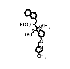 CCOC(=O)C(Cc1ccc2ccccc2c1)c1c(SC(C)(C)C)c2cc(OCc3ccc(C)cn3)ccc2n1C